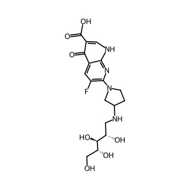 O=C(O)c1c[nH]c2nc(N3CCC(NC[C@H](O)[C@H](O)[C@H](O)CO)C3)c(F)cc2c1=O